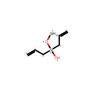 C=CC[Si](O)(CC=C)O[SiH3]